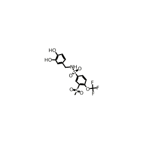 CS(=O)(=O)c1cc(S(=O)(=O)NCc2ccc(O)c(O)c2)ccc1OC(F)(F)F